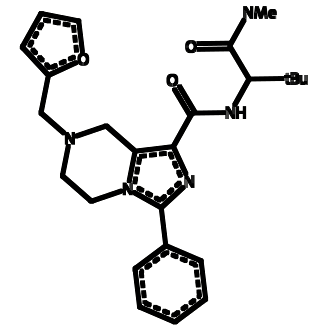 CNC(=O)C(NC(=O)c1nc(-c2ccccc2)n2c1CN(Cc1ccco1)CC2)C(C)(C)C